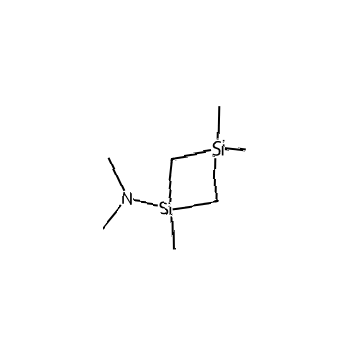 CN(C)[Si]1(C)C[Si](C)(C)C1